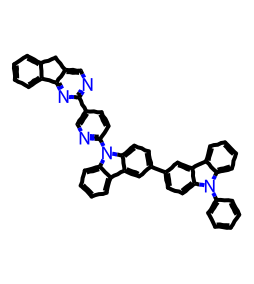 c1ccc(-n2c3ccccc3c3cc(-c4ccc5c(c4)c4ccccc4n5-c4ccc(-c5ncc6c(n5)-c5ccccc5C6)cn4)ccc32)cc1